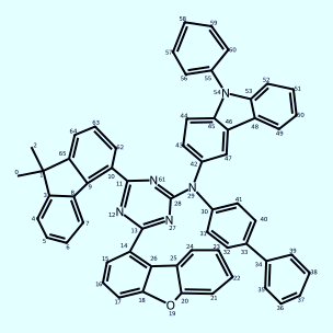 CC1(C)c2ccccc2-c2c(-c3nc(-c4cccc5oc6ccccc6c45)nc(N(c4ccc(-c5ccccc5)cc4)c4ccc5c(c4)c4ccccc4n5-c4ccccc4)n3)cccc21